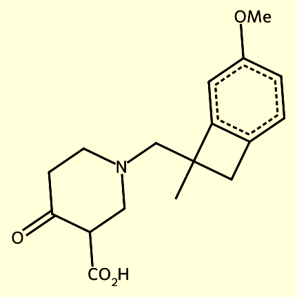 COc1ccc2c(c1)C(C)(CN1CCC(=O)C(C(=O)O)C1)C2